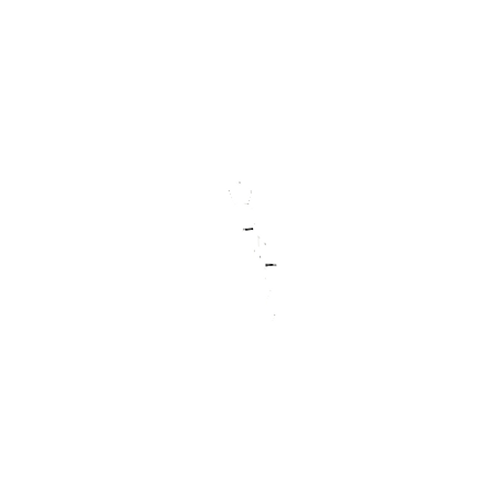 CCCCOC(=O)N=NC(=O)OC1CCCC1